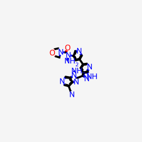 N#Cc1cncc2c1nc(-c1n[nH]c3ncc(-c4cncc(N(N)C(=O)N5CCOCC5)c4)cc13)n2N